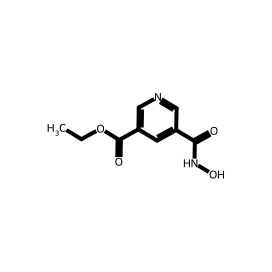 CCOC(=O)c1cncc(C(=O)NO)c1